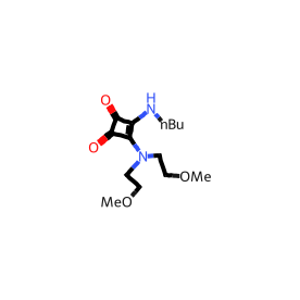 CCCCNc1c(N(CCOC)CCOC)c(=O)c1=O